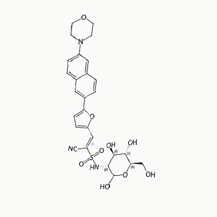 N#C/C(=C\c1ccc(-c2ccc3cc(N4CCOCC4)ccc3c2)o1)S(=O)(=O)N[C@H]1C(O)O[C@H](CO)[C@@H](O)[C@@H]1O